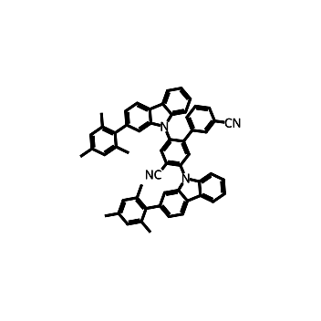 Cc1cc(C)c(-c2ccc3c4ccccc4n(-c4cc(-c5cccc(C#N)c5)c(-n5c6ccccc6c6ccc(-c7c(C)cc(C)cc7C)cc65)cc4C#N)c3c2)c(C)c1